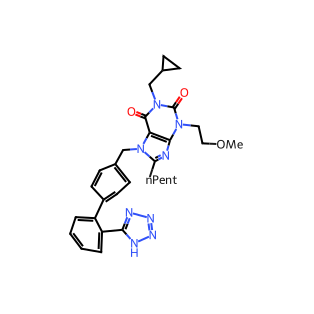 CCCCCc1nc2c(c(=O)n(CC3CC3)c(=O)n2CCOC)n1Cc1ccc(-c2ccccc2-c2nnn[nH]2)cc1